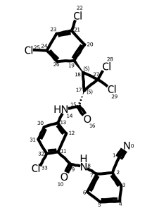 N#Cc1ccccc1NC(=O)c1cc(NC(=O)[C@@H]2[C@@H](c3cc(Cl)cc(Cl)c3)C2(Cl)Cl)ccc1Cl